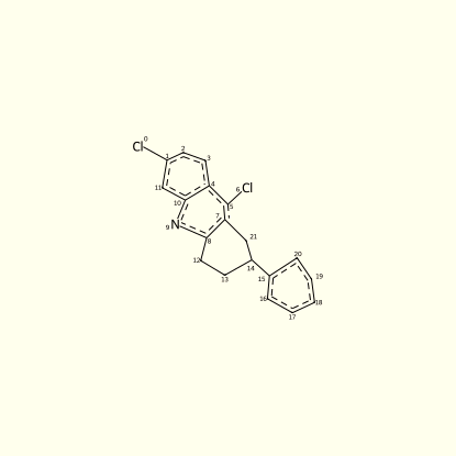 Clc1ccc2c(Cl)c3c(nc2c1)CCC(c1ccccc1)C3